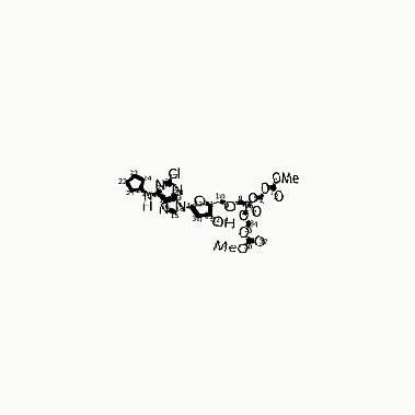 COC(=O)OCOP(=O)(COC[C@H]1O[C@@H](n2cnc3c(NC4CCCC4)nc(Cl)nc32)C[C@@H]1O)OCOC(=O)OC